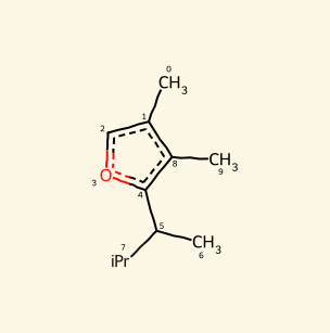 Cc1coc(C(C)C(C)C)c1C